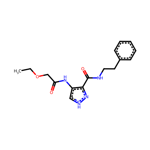 CCOCC(=O)Nc1c[nH]nc1C(=O)NCCc1ccccc1